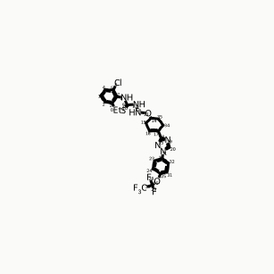 CCc1cccc(Cl)c1NC(=S)NNOC1CC=C(c2ncn(-c3ccc(OC(F)(F)C(F)(F)F)cc3)n2)CC1